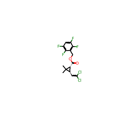 CC1(C)[C@H](C=C(Cl)Cl)[C@H]1C(=O)OCc1c(F)c(F)cc(F)c1F